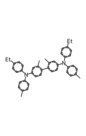 CCc1ccc(N(c2ccc(C)cc2)c2ccc(-c3ccc(N(c4ccc(C)cc4)c4ccc(CC)cc4)cc3C)c(C)c2)cc1